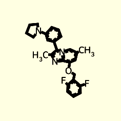 Cc1cc(OCc2c(F)cccc2F)c2nc(C)c(-c3cccc(N4CCCC4)c3)n2c1